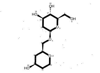 OC[C@H]1O[C@@H](OC[C@@H]2C[C@H](O)CCO2)C[C@@H](O)[C@@H]1O